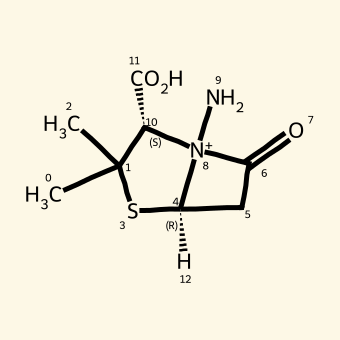 CC1(C)S[C@@H]2CC(=O)[N+]2(N)[C@H]1C(=O)O